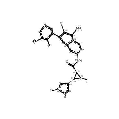 Cc1c(N)cncc1-c1cc2cc(NC(=O)[C@H]3[C@@H](C)[C@@H]3c3cnn(C)c3)ncc2c(N)c1F